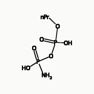 CCCOP(=O)(O)OP(N)(=O)O